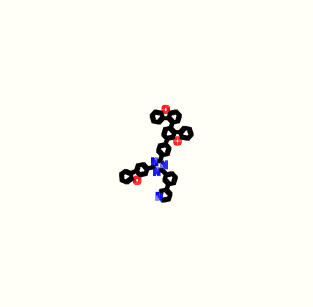 c1cncc(-c2cccc(-c3nc(-c4ccc(-c5ccc(-c6cccc7oc8ccccc8c67)c6c5oc5ccccc56)cc4)nc(-c4ccc5c(c4)oc4ccccc45)n3)c2)c1